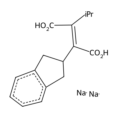 CC(C)C(C(=O)O)=C(C(=O)O)C1Cc2ccccc2C1.[Na].[Na]